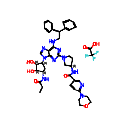 CCC(=O)N[C@H]1C[C@@H](n2cnc3c(NCC(c4ccccc4)c4ccccc4)nc(N4CC[C@@H](NC(=O)c5ccc(N6CCOCC6)nc5)C4)nc32)[C@H](O)[C@@H]1O.O=C(O)C(F)(F)F